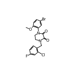 COc1ccc(Br)cc1N1CCN(Cc2ccc(F)cc2Cl)C(=O)C1=O